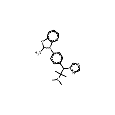 CN(C)C(C)(C)C(c1ccc(N2c3ccccc3SC2N)cc1)n1cncn1